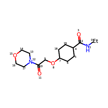 CCNC(=O)C1CCC(OCC(=O)N2CCOCC2)CC1